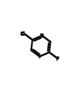 Fc1[c]cc(Cl)nc1